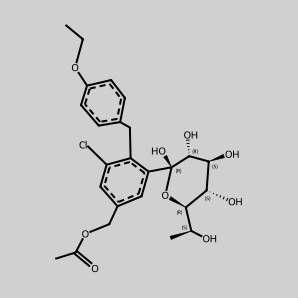 CCOc1ccc(Cc2c(Cl)cc(COC(C)=O)cc2[C@@]2(O)O[C@H]([C@H](C)O)[C@@H](O)[C@H](O)[C@H]2O)cc1